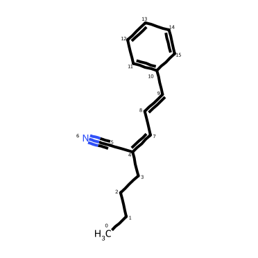 CCCCC(C#N)=CC=Cc1ccccc1